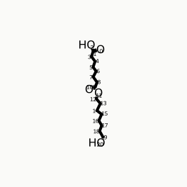 O=C(O)CCCCCCC(=O)OCCCCCCCCO